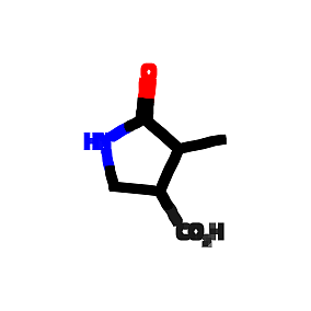 CC1C(=O)NCC1C(=O)O